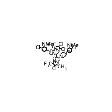 CNc1cc(N2CCN(C(Cn3nc(C(F)(F)F)c(Cl)c3C)C(=O)C(Cn3nc(C(F)(F)F)c(Cl)c3C)N3CCN(c4ccc(Cl)c(NC)c4)CC3)CC2)ccc1Cl